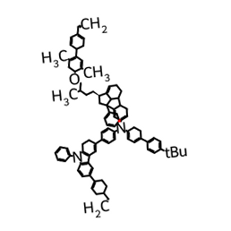 C=CC1=CCC(C2=C(C)CC(OCC(C)CC[C@@H]3CC4(C5=CC=CCC5)C5=CC(N(C6=CC=C(c7ccc(C(C)(C)C)cc7)CC6)c6ccc(C7=Cc8c(n(-c9ccccc9)c9ccc(C%10=CCC(C=C)CC%10)cc89)CC7)cc6)=CCC5C5CCC=C3C54)C(C)=C2)C=C1